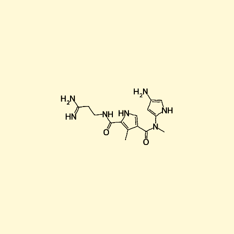 Cc1c(C(=O)N(C)c2cc(N)c[nH]2)c[nH]c1C(=O)NCCC(=N)N